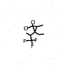 CCC1(C(C)C(F)(F)F)C(C)C1(Cl)Cl